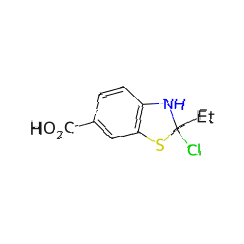 CCC1(Cl)Nc2ccc(C(=O)O)cc2S1